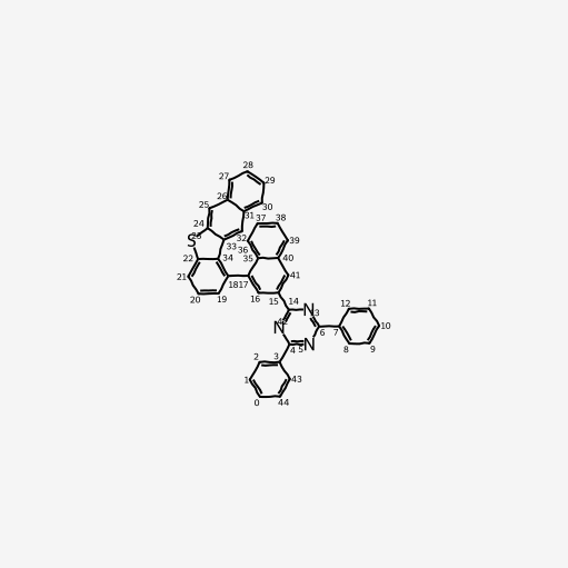 c1ccc(-c2nc(-c3ccccc3)nc(-c3cc(-c4cccc5sc6cc7ccccc7cc6c45)c4ccccc4c3)n2)cc1